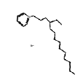 CCCCCCCCCCC(CC)CCC[n+]1ccccc1.[Br-]